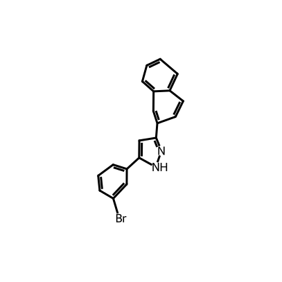 Brc1cccc(-c2cc(-c3ccc4ccccc4c3)n[nH]2)c1